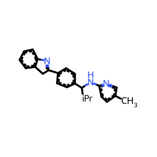 Cc1ccc(NC(c2ccc(C3=Nc4ccccc4C3)cc2)C(C)C)nc1